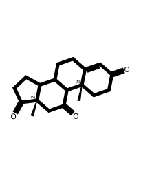 C[C@]12CCC(=O)C=C1CCC1C2C(=O)C[C@]2(C)C(=O)CCC12